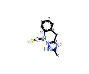 Cc1nc(Cc2ccccc2N=C=S)n[nH]1